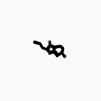 C=CCc1nc2cc(F)ccc2[nH]1